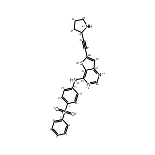 O=S(=O)(c1ccccc1)c1ccc(Nc2ncnc3cc(C#CC4CCCN4)sc23)cc1